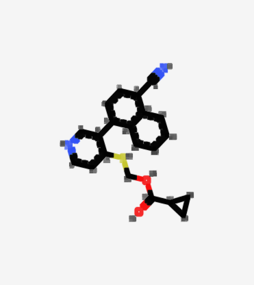 N#Cc1ccc(-c2cnccc2SCOC(=O)C2CC2)c2ccccc12